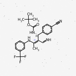 C/C(Nc1cccc(C(F)(F)F)c1)=C(\C=N)[C@H](NC(=O)OC(C)(C)C)c1ccc(C#N)cc1